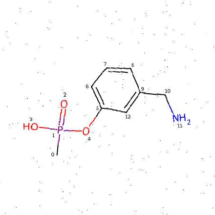 CP(=O)(O)Oc1cccc(CN)c1